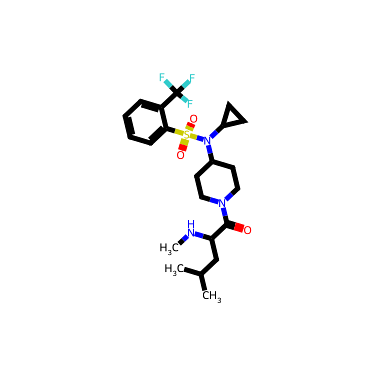 CNC(CC(C)C)C(=O)N1CCC(N(C2CC2)S(=O)(=O)c2ccccc2C(F)(F)F)CC1